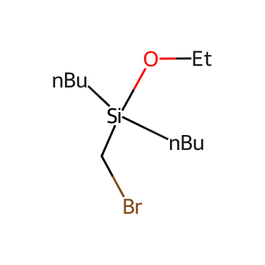 CCCC[Si](CBr)(CCCC)OCC